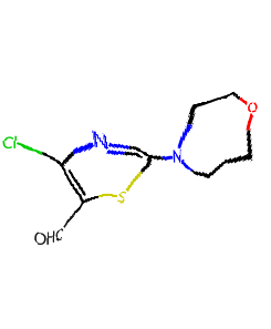 O=Cc1sc(N2CCOCC2)nc1Cl